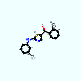 O=C(c1cnc(Nc2cccc(C(F)(F)F)c2)s1)c1ccccc1[N+](=O)[O-]